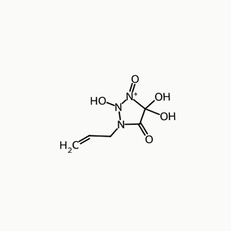 C=CCN1C(=O)C(O)(O)[N+](=O)N1O